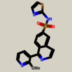 COc1ncccc1-c1nccc2cc(S(=O)(=O)Nc3nccs3)ccc12